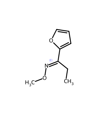 CC/C(=N\OC)c1ccco1